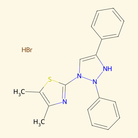 Br.Cc1nc(N2C=C(c3ccccc3)NN2c2ccccc2)sc1C